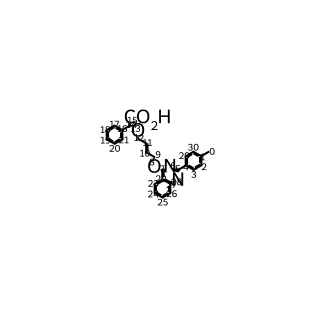 Cc1ccc(-c2nc(OCC=CCOC(C(=O)O)c3ccccc3)c3ccccc3n2)cc1